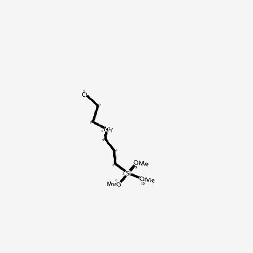 CO[Si](CCCNCCCl)(OC)OC